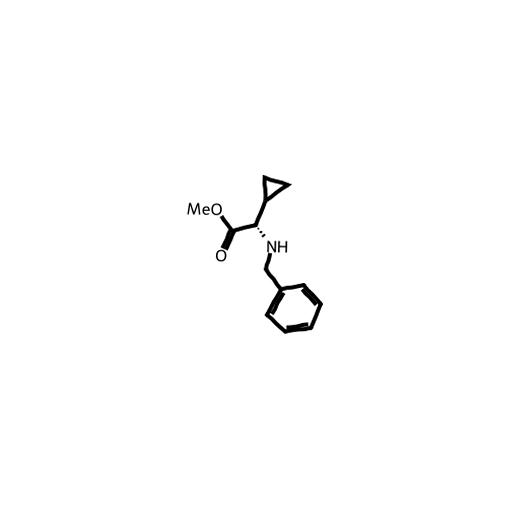 COC(=O)[C@@H](NCc1ccccc1)C1CC1